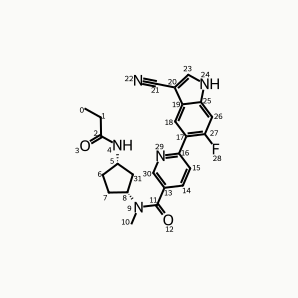 CCC(=O)N[C@H]1CC[C@@H](N(C)C(=O)c2ccc(-c3cc4c(C#N)c[nH]c4cc3F)nc2)C1